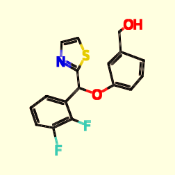 OCc1cccc(OC(c2nccs2)c2cccc(F)c2F)c1